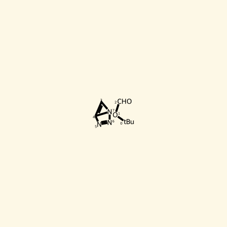 CC(C)(C)OC=O.c1c2nnn1-2